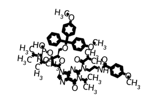 COc1ccc(C(=O)NCCN(C(=O)C(C)C)c2nc3c(ncn3[C@H]3C[C@](O)(OP(O)N(C(C)C)C(C)C)[C@@H](COC(c4ccccc4)(c4ccc(OC)cc4)c4ccc(OC)cc4)O3)c(=O)n2C(C)C)cc1